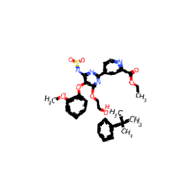 CC(C)(C)c1ccccc1.CCOC(=O)c1cc(-c2nc(N=S(=O)=O)c(Oc3ccccc3OC)c(OCCO)n2)ccn1